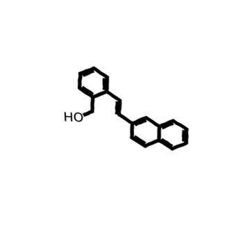 OCc1ccccc1C=Cc1ccc2ccccc2c1